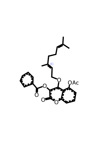 CC(=O)Oc1cccc2oc(=O)c(OC(=O)c3ccccc3)c(OC/C=C(\C)CCC=C(C)C)c12